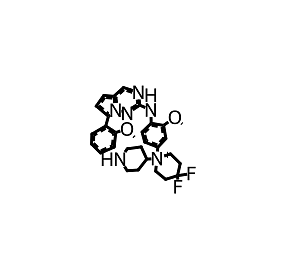 COc1cc([N+]2(C3CCNCC3)CCC(F)(F)CC2)ccc1Nc1ncc2ccc(-c3ccccc3OC)n2n1